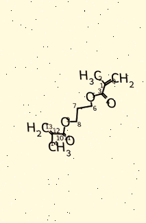 C=C(C)C(=O)OC[CH]COC(=O)C(=C)C